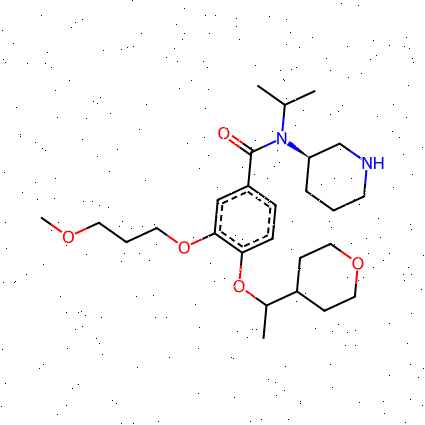 COCCCOc1cc(C(=O)N(C(C)C)[C@@H]2CCCNC2)ccc1OC(C)C1CCOCC1